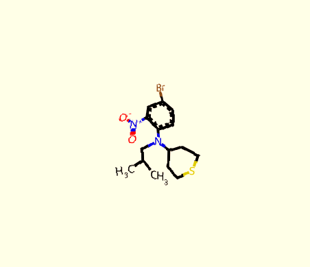 CC(C)CN(c1ccc(Br)cc1[N+](=O)[O-])C1CCSCC1